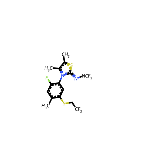 Cc1cc(F)c(-n2c(C)c(C)sc2=NNC(F)(F)F)cc1SCC(F)(F)F